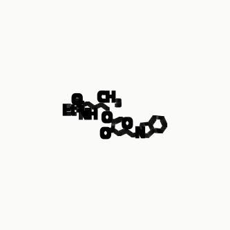 CCS(=N)(=O)CCC(C)COc1coc(CN2Cc3ccccc3C2)cc1=O